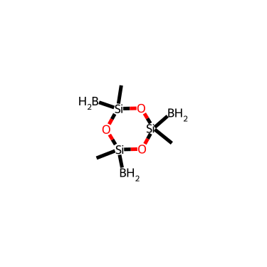 B[Si]1(C)O[Si](B)(C)O[Si](B)(C)O1